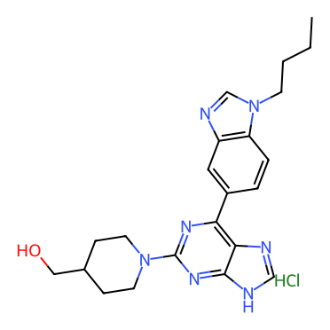 CCCCn1cnc2cc(-c3nc(N4CCC(CO)CC4)nc4[nH]cnc34)ccc21.Cl